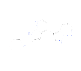 c1cnn2ncc(-c3ccnc4[nH]c(CN5CCOCC5)cc34)c2c1